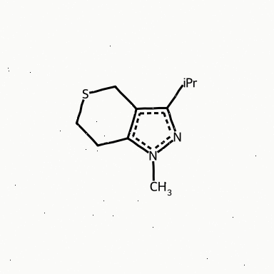 CC(C)c1nn(C)c2c1CSCC2